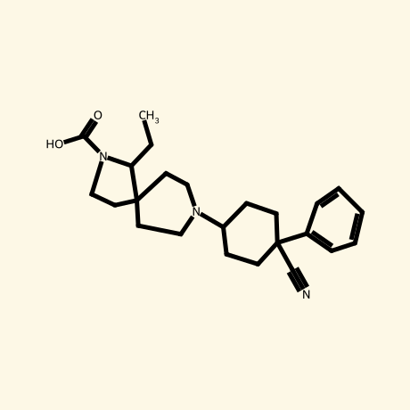 CCC1N(C(=O)O)CCC12CCN(C1CCC(C#N)(c3ccccc3)CC1)CC2